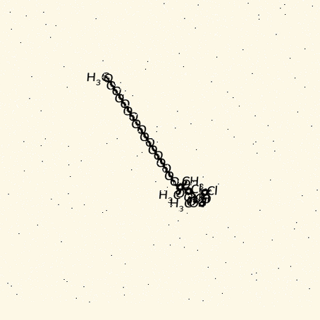 COCCOCCOCCOCCOCCOCCOCCOCCOCCOCCOCCOCCOCCOCCOCCOCCOCc1cc(OC)c(-c2ccc(C[C@H](NC(=O)[C@@H]3CCCN3S(=O)(=O)c3cc(Cl)cc(Cl)c3)C(=O)OC)cc2)c(OC)c1